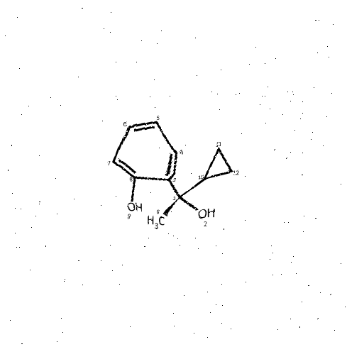 C[C@@](O)(c1ccccc1O)C1CC1